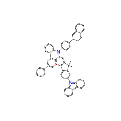 CC1(C)c2cc(N(c3ccc(C4C=c5ccccc5=CC4)cc3)c3ccccc3-c3cccc(-c4ccccc4)c3)ccc2-c2ccc(-n3c4ccccc4c4ccccc43)cc21